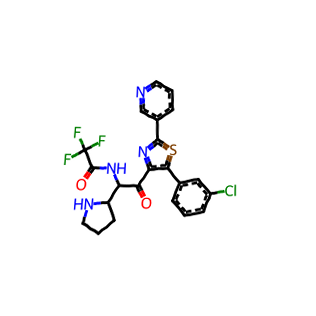 O=C(c1nc(-c2cccnc2)sc1-c1cccc(Cl)c1)C(NC(=O)C(F)(F)F)C1CCCN1